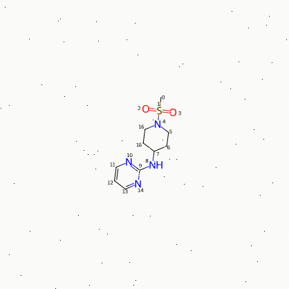 CS(=O)(=O)N1CCC(Nc2ncccn2)CC1